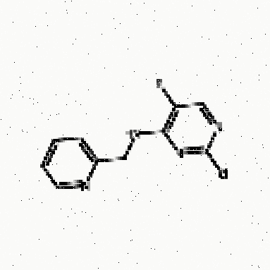 Fc1cnc(Cl)nc1NCc1ccccn1